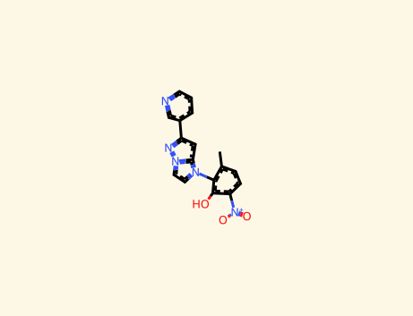 Cc1ccc([N+](=O)[O-])c(O)c1-n1ccn2nc(-c3cccnc3)cc12